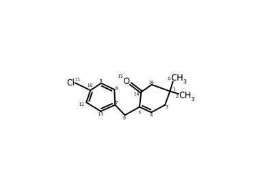 CC1(C)CC=C(Cc2ccc(Cl)cc2)C(=O)C1